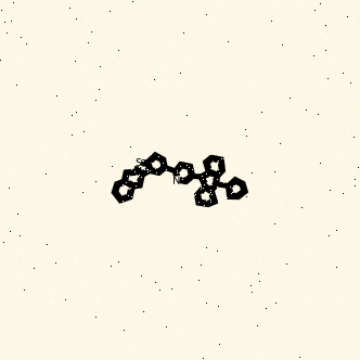 c1ccc(-c2c3ccccc3c(-c3ccc(-c4ccc5sc6cc7ccccc7cc6c5c4)nc3)c3ccccc23)cc1